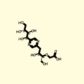 O=C(O)CO[C@H](CO)[C@@H](O)Cc1cnc([C@@H](O)[C@H](O)[C@H](O)CO)cn1